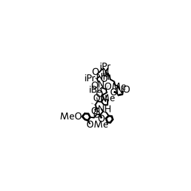 CC[C@H](C)[C@@H]([C@@H](CC(=O)N1CCCC1[C@H](OC)[C@@H](C)C(=O)N[C@@H](Cc1ccccc1)C(=O)OCc1ccc(OC)cc1OC)OC)N(C)C(=O)[C@@H](NC(=O)[C@H](C(C)C)N(C)C(=O)CCCCCN1C(=O)C=CC1=O)C(C)C